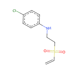 C=CS(=O)(=O)CCNc1ccc(Cl)cc1